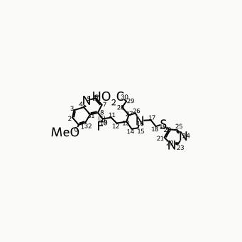 COc1ccc2nccc([C@@H](F)CCC3CCN(CCSc4cncnc4)CC3CCC(=O)O)c2c1